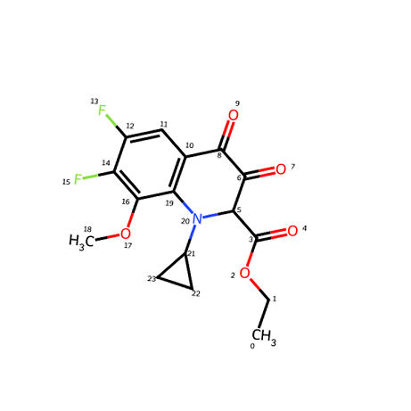 CCOC(=O)C1C(=O)C(=O)c2cc(F)c(F)c(OC)c2N1C1CC1